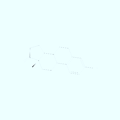 CC(C)(C)c1ccc2c(c1)CCC1C2CC[C@]2(C)C(=O)CCC12